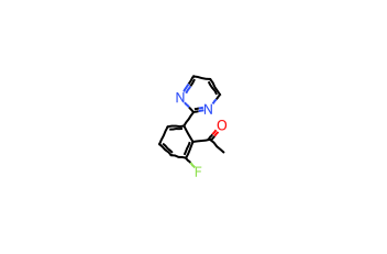 CC(=O)c1c(F)cccc1-c1ncccn1